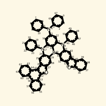 c1ccc(N(c2ccccc2)c2cc3c4c(c2)N(c2ccccc2)c2cc5c(cc2B4c2cc4oc6ccccc6c4cc2N3c2ccccc2)oc2c3ccccc3c3ccccc3c52)cc1